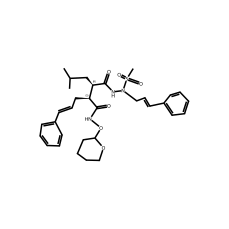 CC(C)C[C@@H](C(=O)NN(CC=Cc1ccccc1)S(C)(=O)=O)[C@H](CC=Cc1ccccc1)C(=O)NOC1CCCCO1